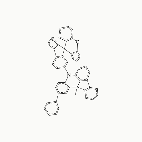 CC1(C)c2ccccc2-c2cccc(N(c3ccc(-c4ccccc4)cc3)c3ccc4c(c3)C3(c5ccccc5Oc5ccccc53)c3ccccc3-4)c21